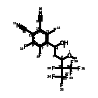 COC(CC(O)c1c(F)c(F)c(C#N)c(C#N)c1F)C(F)(C(F)(F)F)C(F)(F)F